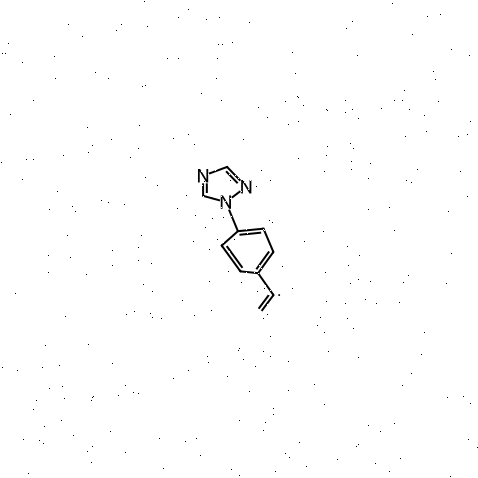 C=[C]c1ccc(-n2cncn2)cc1